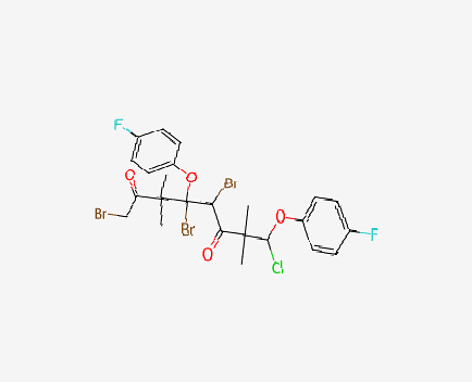 CC(C)(C(=O)C(Br)C(Br)(Oc1ccc(F)cc1)C(C)(C)C(=O)CBr)C(Cl)Oc1ccc(F)cc1